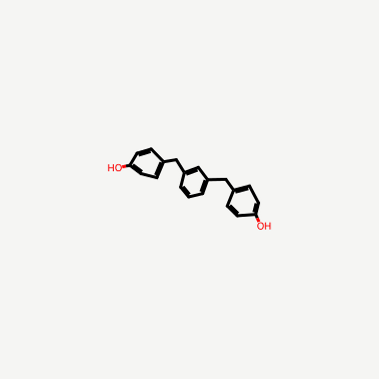 Oc1ccc(Cc2cccc(Cc3ccc(O)cc3)c2)cc1